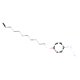 C=CCCCCCCCCCOc1ccc(N=[N+]=[N-])cc1